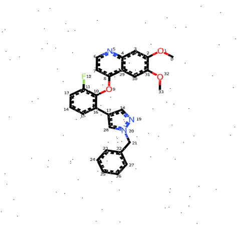 COc1cc2nccc(Oc3c(F)cccc3-c3cnn(Cc4ccccc4)c3)c2cc1OC